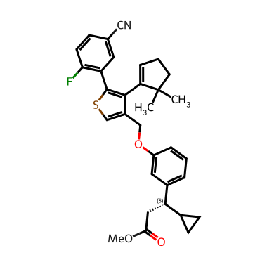 COC(=O)C[C@H](c1cccc(OCc2csc(-c3cc(C#N)ccc3F)c2C2=CCCC2(C)C)c1)C1CC1